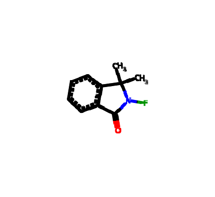 CC1(C)c2ccccc2C(=O)N1F